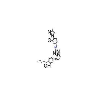 CCCCC(O)c1ccc([C@H]2CCCn3nc(/C=C/c4ccc(-n5cnc(C)c5)c(OC)c4)nc32)cc1